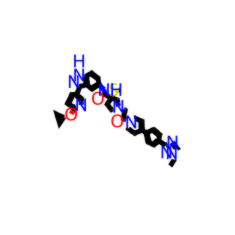 CCn1cnc(-c2ccc(C3=CCN(C(=O)CN4CC[C@@](SC)(C(=O)Nc5ccc6[nH]nc(-c7ccc(OC8CC8)nc7)c6c5)C4)CC3)cc2)n1